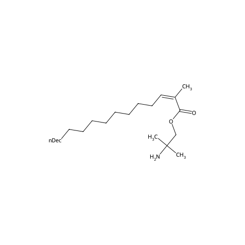 CCCCCCCCCCCCCCCCCCC=C(C)C(=O)OCC(C)(C)N